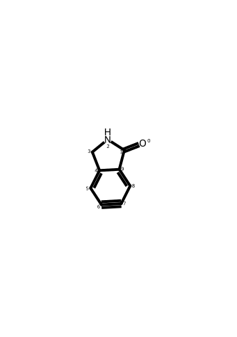 O=C1NCc2cc#ccc21